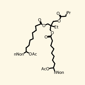 CCCCCCCCCC(CCCCCCCC(=O)OCC(CC)(COC(=O)CCCCCCCC(CCCCCCCCC)OC(C)=O)COC(=O)CC(C)C)OC(C)=O